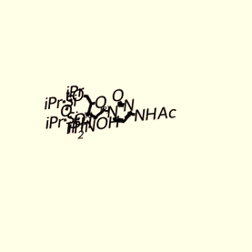 CC(=O)Nc1ccn([C@@H]2OC3CO[Si](C(C)C)(C(C)C)O[Si](C(C)C)(C(C)C)O[C@H]3C2(N)O)c(=O)n1